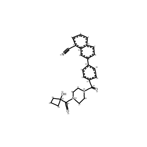 N#Cc1cccc2ccc(-c3ccc(C(=O)N4CCN(C(=O)C5(O)CCC5)CC4)cc3)cc12